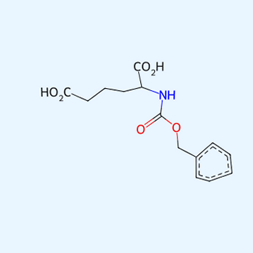 O=C(O)CCCC(NC(=O)OCc1ccccc1)C(=O)O